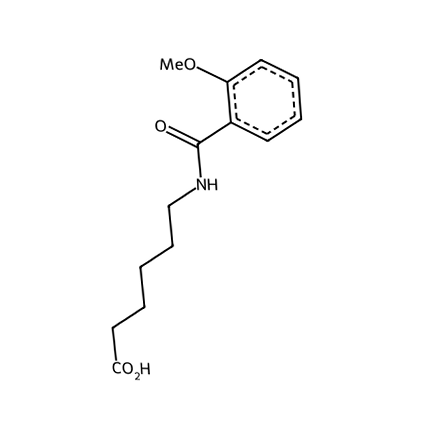 COc1ccccc1C(=O)NCCCCCC(=O)O